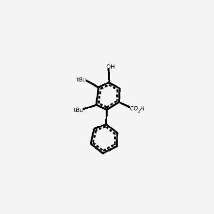 CC(C)(C)c1c(O)cc(C(=O)O)c(-c2ccccc2)c1C(C)(C)C